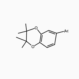 CC(=O)c1ccc2c(c1)OC(C)(C)C(C)(C)O2